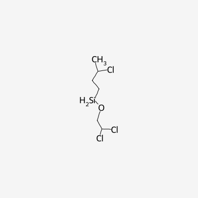 CC(Cl)CC[SiH2]OCC(Cl)Cl